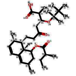 CC[C@H](C)C(=O)O[C@H]1C[C@@H](C)C=C2C=C[C@H](C)[C@H](CCC(=O)C[C@@H](O[Si](C)(C)C(C)(C)C)C(C)C(=O)O)[C@H]21